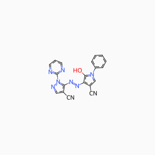 N#Cc1cn(-c2ccccc2)c(O)c1N=Nc1c(C#N)cnn1-c1ncccn1